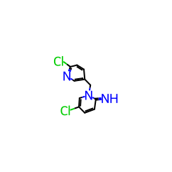 N=c1ccc(Cl)cn1Cc1ccc(Cl)nc1